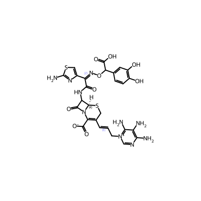 Nc1nc(/C(=N/OC(C(=O)O)c2ccc(O)c(O)c2)C(=O)NC2C(=O)N3C(C(=O)[O-])=C(/C=C/C[n+]4cnc(N)c(N)c4N)CS[C@H]23)cs1